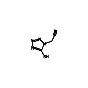 C#CCn1nnnc1S